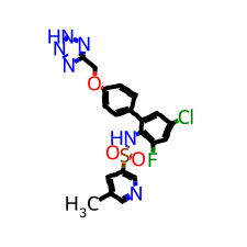 Cc1cncc(S(=O)(=O)Nc2c(F)cc(Cl)cc2-c2ccc(OCc3nn[nH]n3)cc2)c1